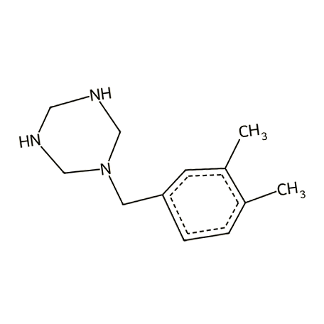 Cc1ccc(CN2CNCNC2)cc1C